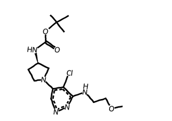 COCCNc1nncc(N2CC[C@@H](NC(=O)OC(C)(C)C)C2)c1Cl